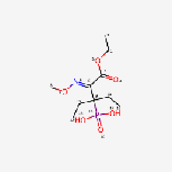 CCOC(=O)C(=NOC)C(CC)(CC)P(=O)(O)O